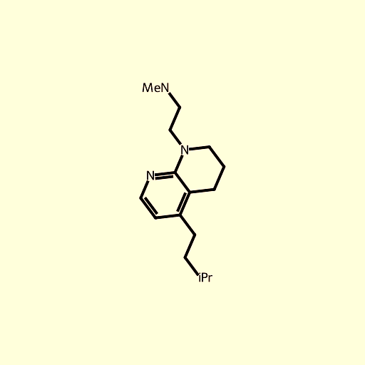 CNCCN1CCCc2c(CCC(C)C)ccnc21